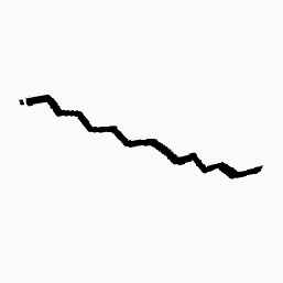 [CH2]CCCCCCCCCC/C=[C]/C